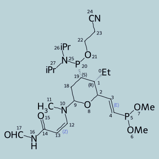 CC[C@@H]1C(/C=C/P(OC)OC)OC(N(C)/C=C\C(=O)NC=O)C[C@@H]1P(OCCC#N)N(C(C)C)C(C)C